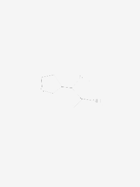 NC(=O)C(N)C1CCNC1